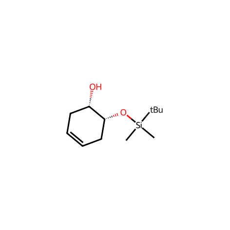 CC(C)(C)[Si](C)(C)O[C@@H]1CC=CC[C@@H]1O